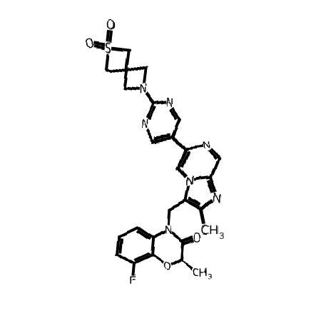 Cc1nc2cnc(-c3cnc(N4CC5(C4)CS(=O)(=O)C5)nc3)cn2c1CN1C(=O)[C@@H](C)Oc2c(F)cccc21